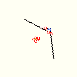 CCCCCCCCCCCCCCCCCCOC(CN(C)CCO)OCCCCCCCCCCCCCCCCCC.COS(=O)(=O)O